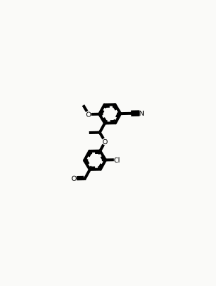 COc1ccc(C#N)cc1C(C)Oc1ccc(C=O)cc1Cl